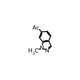 CC(=O)c1ccc2cnn(C)c2c1